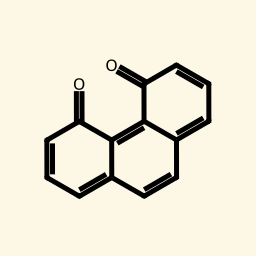 O=C1C=CC=c2ccc3c(c21)C(=O)C=CC=3